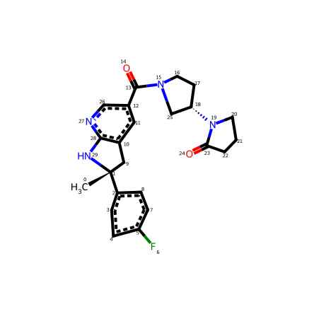 C[C@]1(c2ccc(F)cc2)Cc2cc(C(=O)N3CC[C@H](N4CCCC4=O)C3)cnc2N1